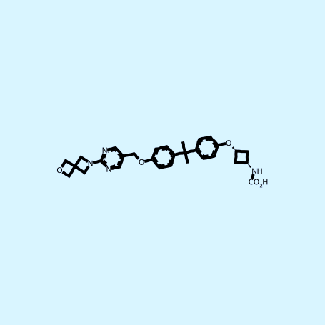 CC(C)(c1ccc(OCc2cnc(N3CC4(COC4)C3)nc2)cc1)c1ccc(O[C@H]2C[C@@H](NC(=O)O)C2)cc1